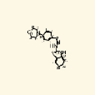 C1=c2nc(N/N=C\c3ccc(N4CCOCC4)cc3)[nH]c2=CCC1